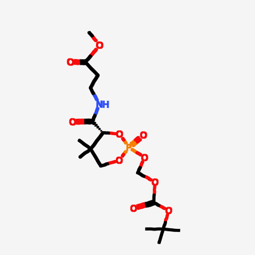 COC(=O)CCNC(=O)[C@@H]1OP(=O)(OCOC(=O)OC(C)(C)C)OCC1(C)C